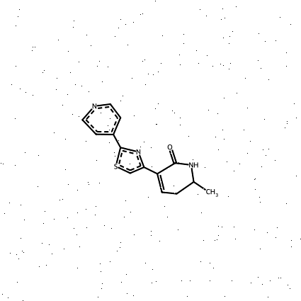 CC1CC=C(c2csc(-c3ccncc3)n2)C(=O)N1